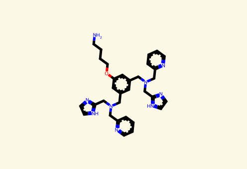 NCCCCOc1cc(CN(Cc2ccccn2)Cc2ncc[nH]2)cc(CN(Cc2ccccn2)Cc2ncc[nH]2)c1